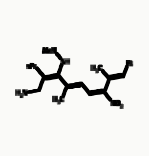 CC/C=C(C)/C(=C\C=C(C)\C(NNC)=C(/CN)CCC)[N+](=O)[O-]